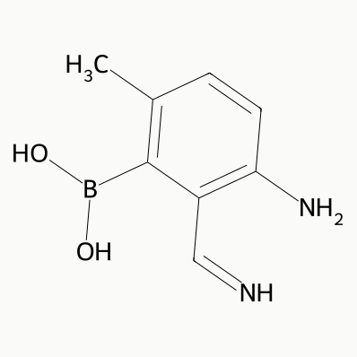 Cc1ccc(N)c(C=N)c1B(O)O